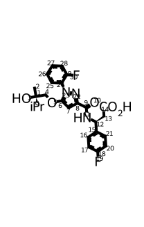 CC(C)[C@@](C)(O)COc1cc(C(=O)N[C@@H](CC(=O)O)c2ccc(F)cc2)nn1-c1ccccc1F